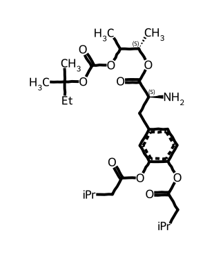 CCC(C)(C)OC(=O)OC(C)[C@H](C)OC(=O)[C@@H](N)Cc1ccc(OC(=O)CC(C)C)c(OC(=O)CC(C)C)c1